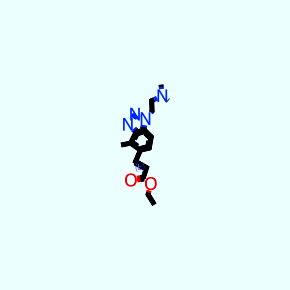 CCOC(=O)/C=C/c1ccc2c(nnn2CCN(C)C)c1C